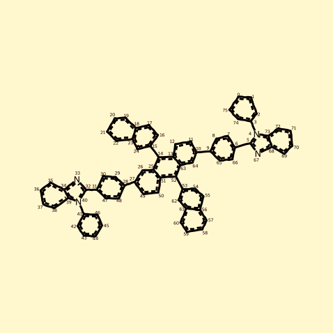 c1ccc(-n2c(-c3ccc(-c4ccc5c(-c6ccc7ccccc7c6)c6cc(-c7ccc(-c8nc9ccccc9n8-c8ccccc8)cc7)ccc6c(-c6ccc7ccccc7c6)c5c4)cc3)nc3ccccc32)cc1